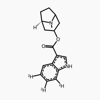 [2H]c1cc2c(C(=O)OC3CC4CC[C@H](C3)N4C)c[nH]c2c([2H])c1[2H]